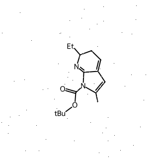 CCC1CC=c2cc(C)n(C(=O)OC(C)(C)C)c2=N1